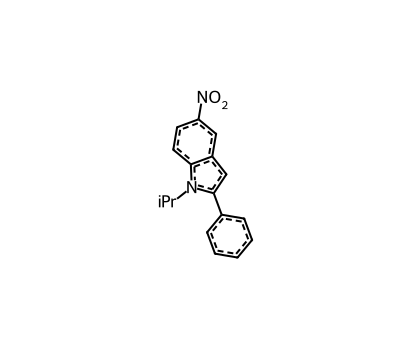 CC(C)n1c(-c2ccccc2)cc2cc([N+](=O)[O-])ccc21